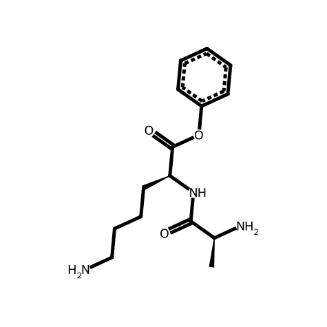 C[C@H](N)C(=O)N[C@@H](CCCCN)C(=O)Oc1ccccc1